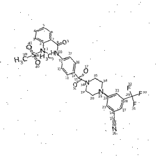 CN(c1ccccc1C(=O)Nc1ccc(S(=O)(=O)N2CCN(c3cc(C#N)cc(C(F)(F)F)c3)CC2)cc1)S(C)(=O)=O